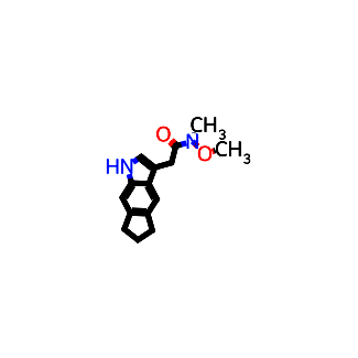 CON(C)C(=O)Cc1c[nH]c2cc3c(cc12)CCC3